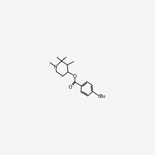 CC1C(OC(=O)c2ccc(C(C)(C)C)cc2)CCN(C)C1(C)C